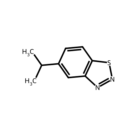 CC(C)c1ccc2snnc2c1